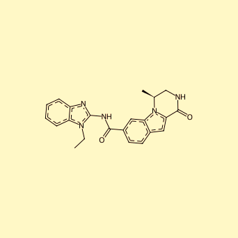 CCn1c(NC(=O)c2ccc3cc4n(c3c2)[C@@H](C)CNC4=O)nc2ccccc21